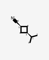 CC(C)[C@H]1C[C@@H](C#N)C1